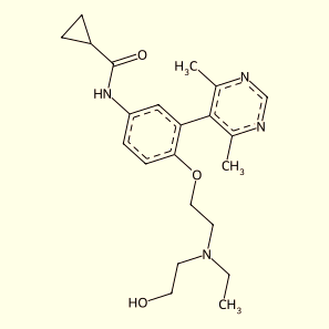 CCN(CCO)CCOc1ccc(NC(=O)C2CC2)cc1-c1c(C)ncnc1C